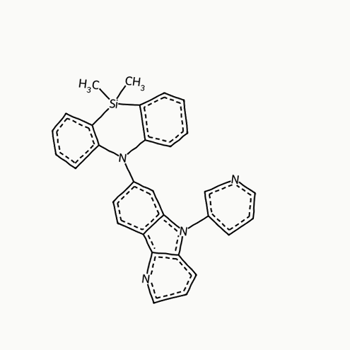 C[Si]1(C)c2ccccc2N(c2ccc3c4ncccc4n(-c4cccnc4)c3c2)c2ccccc21